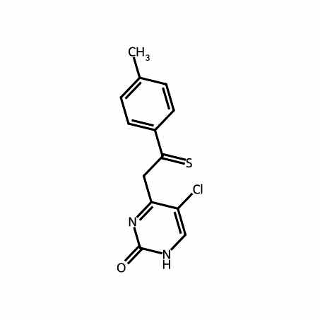 Cc1ccc(C(=S)Cc2nc(=O)[nH]cc2Cl)cc1